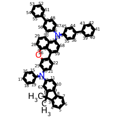 CC1(C)c2ccccc2-c2ccc(N(c3ccccc3)c3ccc4c(c3)Oc3cccc5c(N(c6ccc(-c7ccccc7)cc6)c6ccc(-c7ccccc7)cc6)ccc-4c35)cc21